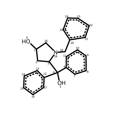 OC1CC(C(O)(c2ccccc2)c2ccccc2)N(Cc2ccccc2)C1